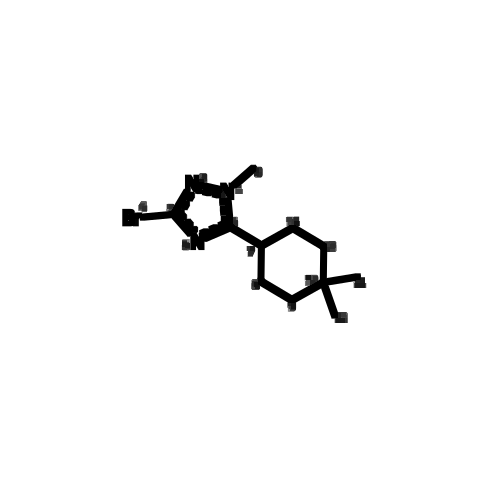 Cn1nc(Br)nc1C1CCC(C)(C)CC1